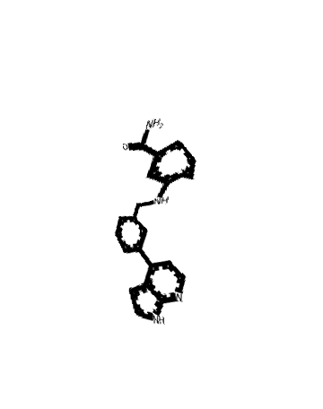 NC(=O)c1cccc(NCc2cccc(-c3ccnc4[nH]ccc34)c2)c1